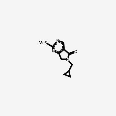 CSc1ncc2c(n1)CN(CC1CC1)C2=O